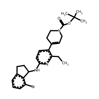 CCc1nc(NC2CCc3cccc(Br)c32)ccc1C1=CCN(C(=O)OC(C)(C)C)CC1